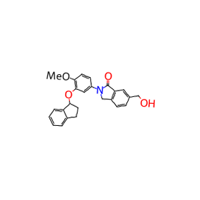 COc1ccc(N2Cc3ccc(CO)cc3C2=O)cc1OC1CCc2ccccc21